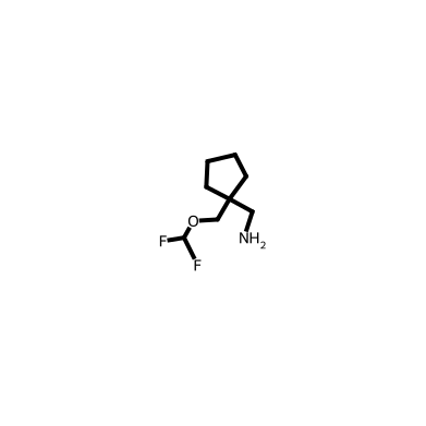 NCC1(COC(F)F)CCCC1